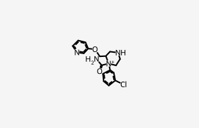 NC(=O)[N+]1(c2cccc(Cl)c2)CCNCC1COc1cccnc1